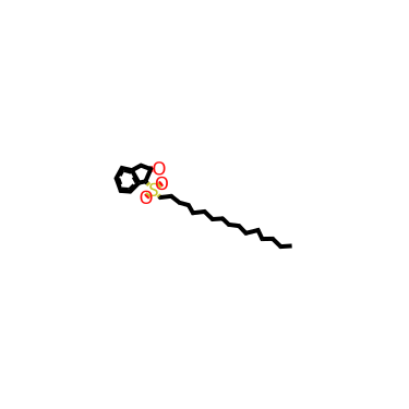 CCCCCCCCCCCCCCCCS(=O)(=O)C1C(=O)Cc2ccccc21